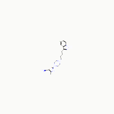 Cc1nc(N2CCN(CCCCc3c[nH]c4ccc(F)cc34)CC2)sc1C#N